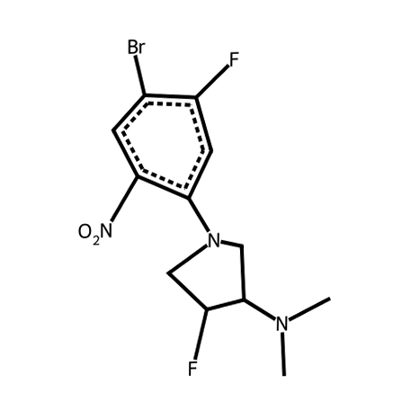 CN(C)C1CN(c2cc(F)c(Br)cc2[N+](=O)[O-])CC1F